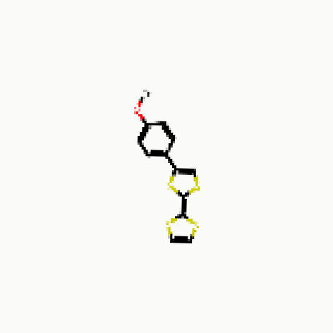 CCOc1ccc(C2=CSC(=C3SC=CS3)S2)cc1